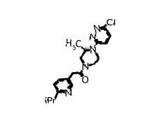 CC(C)c1ccc(CC(=O)N2CCN(c3ccc(Cl)nn3)[C@H](C)C2)cn1